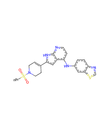 CCCS(=O)(=O)N1CC=C(c2cc3c(Nc4ccc5ncsc5c4)ccnc3[nH]2)CC1